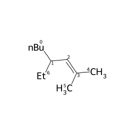 CCCCC(C=C(C)C)CC